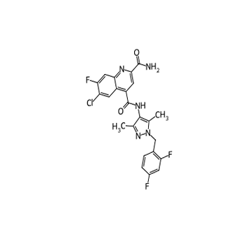 Cc1nn(Cc2ccc(F)cc2F)c(C)c1NC(=O)c1cc(C(N)=O)nc2cc(F)c(Cl)cc12